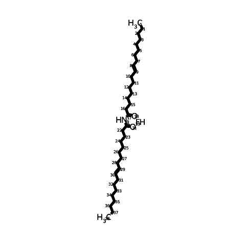 CCCCCCCCC=CCCCCCCCC(=O)NC(=O)CCCCCCCC=CCCCCCCCC.F